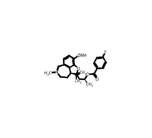 C=C(C)[C@@]12CCN(C)Cc3ccc(OC)c(c31)OC2C[C@H](C)OC(=O)c1ccc(F)cc1